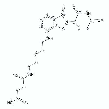 O=C(O)CCC(=O)NCCOCCNc1cccc2c1CN(C1CCC(=O)NC1=O)C2=O